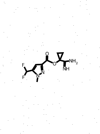 Cn1nc(C(=O)OC2(C(=N)N)CC2)cc1C(F)F